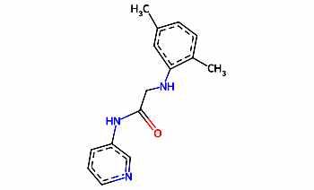 Cc1ccc(C)c(NCC(=O)Nc2cccnc2)c1